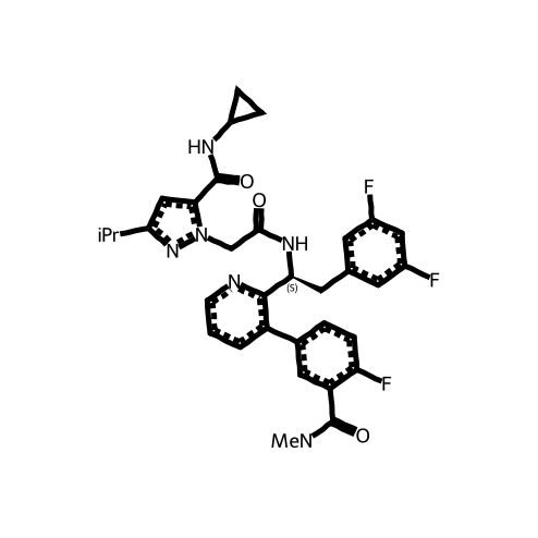 CNC(=O)c1cc(-c2cccnc2[C@H](Cc2cc(F)cc(F)c2)NC(=O)Cn2nc(C(C)C)cc2C(=O)NC2CC2)ccc1F